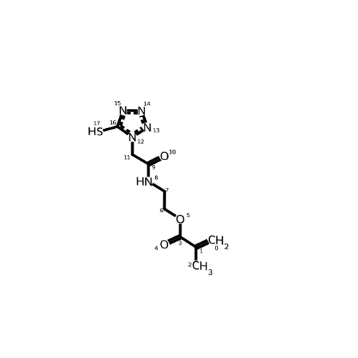 C=C(C)C(=O)OCCNC(=O)Cn1nnnc1S